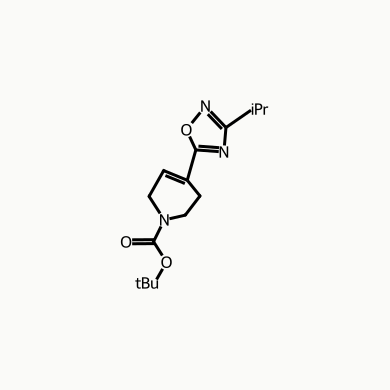 CC(C)c1noc(C2=CCN(C(=O)OC(C)(C)C)CC2)n1